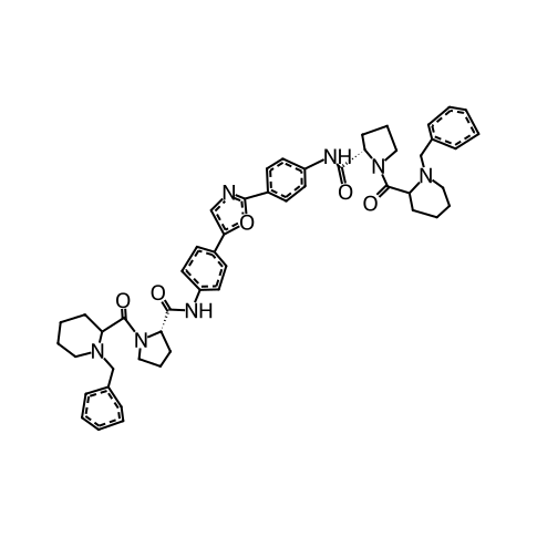 O=C(Nc1ccc(-c2cnc(-c3ccc(NC(=O)[C@@H]4CCCN4C(=O)C4CCCCN4Cc4ccccc4)cc3)o2)cc1)[C@@H]1CCCN1C(=O)C1CCCCN1Cc1ccccc1